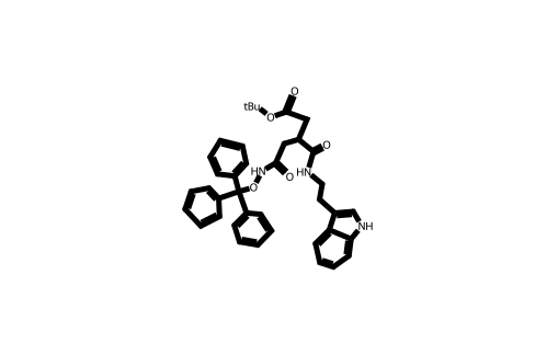 CC(C)(C)OC(=O)CC(CC(=O)NOC(c1ccccc1)(c1ccccc1)c1ccccc1)C(=O)NCCc1c[nH]c2ccccc12